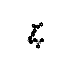 c1ccc(-c2ccc3c(c2)c2ccccc2n3-c2ccc3c(c2)oc2cc(-c4ccc5oc6cccc(-c7cccc(-c8nc(-c9ccccc9)nc(-c9ccccc9)n8)c7)c6c5c4)ccc23)cc1